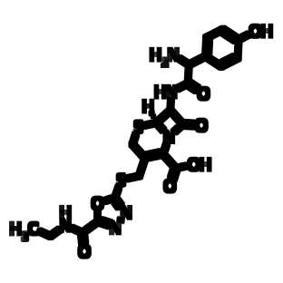 CCNC(=O)c1nnc(SCC2=C(C(=O)O)N3C(=O)C(NC(=O)C(N)c4ccc(O)cc4)[C@@H]3SC2)o1